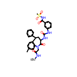 Cc1ccc2c(c1)N(CC(=O)NC(C)(C)C)C(=O)C(NC(=O)Nc1cccc(C(=O)NS(C)(=O)=O)c1)CC2c1ccccc1